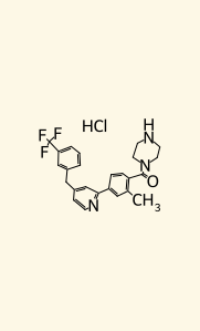 Cc1cc(-c2cc(Cc3cccc(C(F)(F)F)c3)ccn2)ccc1C(=O)N1CCNCC1.Cl